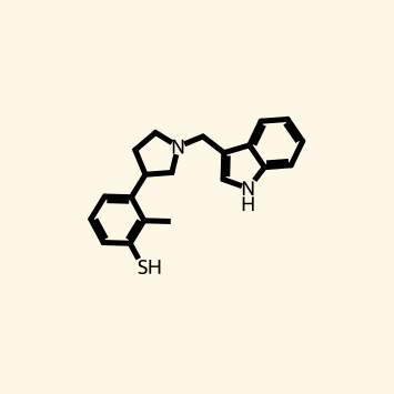 Cc1c(S)cccc1C1CCN(Cc2c[nH]c3ccccc23)C1